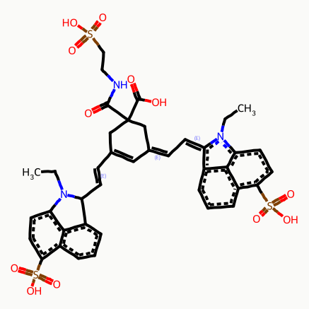 CCN1c2ccc(S(=O)(=O)O)c3cccc(c23)C1/C=C/C1=CC(=C/C=c2\c3cccc4c(S(=O)(=O)O)ccc(c43)n2CC)/CC(C(=O)O)(C(=O)NCCS(=O)(=O)O)C1